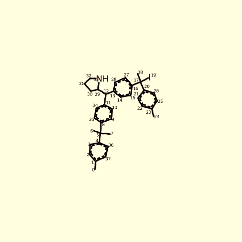 Cc1ccc(C(C)(C)c2ccc(C(c3ccc(C(C)(I)c4ccc(C)cc4)cc3)C3CCCN3)cc2)cc1